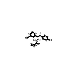 C[C@H](c1ccc(Cl)cc1)[C@H](CNC(=O)C1CCC1)c1cccc(C#N)c1